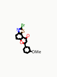 COc1cccc(-c2cc(=O)c3c(ccc4nc(Br)sc43)o2)c1